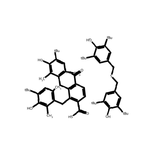 CC(C)(C)c1cc(CSCc2cc(C(C)(C)C)c(O)c(C(C)(C)C)c2)cc(C(C)(C)C)c1O.Cc1cc(C(C)(C)C)c(O)c(C)c1Cc1c(C(=O)S)ccc(C(=O)S)c1Cc1c(C)cc(C(C)(C)C)c(O)c1C